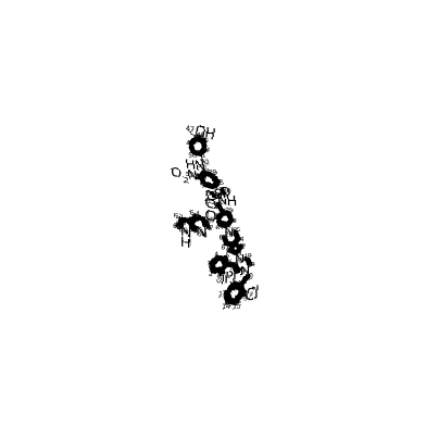 CC(C)c1ccccc1C1CN(Cc2ccccc2Cl)CCN1C1CC2(CCN(c3ccc(C(=O)NS(=O)(=O)c4ccc(NC[C@H]5CC[C@](C)(O)CC5)c([N+](=O)[O-])c4)c(Oc4cnc5[nH]ccc5c4)c3)CC2)C1